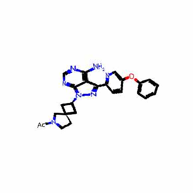 CC(=O)N1CC[C@]2(C1)C[C@H](n1nc(-c3ccc(Oc4ccccc4)cn3)c3c(N)ncnc31)C2